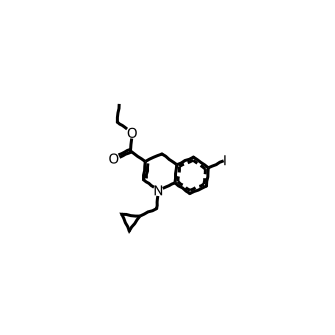 CCOC(=O)C1=CN(CC2CC2)c2ccc(I)cc2C1